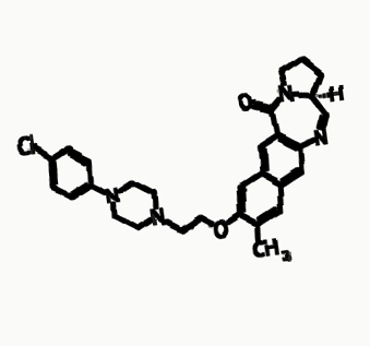 Cc1cc2cc3c(cc2cc1OCCN1CCN(c2ccc(Cl)cc2)CC1)C(=O)N1CCC[C@H]1C=N3